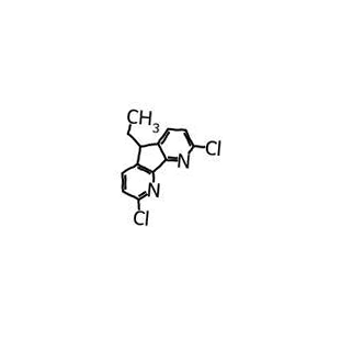 CCC1c2ccc(Cl)nc2-c2nc(Cl)ccc21